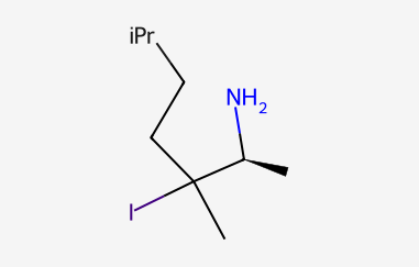 CC(C)CCC(C)(I)[C@H](C)N